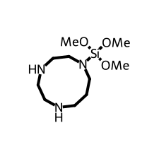 CO[Si](OC)(OC)N1CCCNCCNCC1